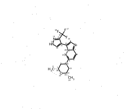 C[C@@H]1CN(c2ccc3ncc(-c4c[nH]nc4C(F)(F)F)n3n2)C[C@H](C)O1